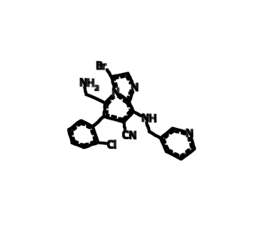 N#Cc1c(-c2ccccc2Cl)c(CN)n2c(Br)cnc2c1NCc1cccnc1